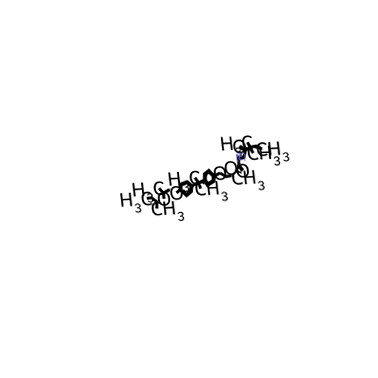 CCC(C)OC(C)COc1ccc(C(C)(C)c2ccc(OCC(C)OC(=O)/C=C/C(=O)C(C)(C)CC)cc2)cc1